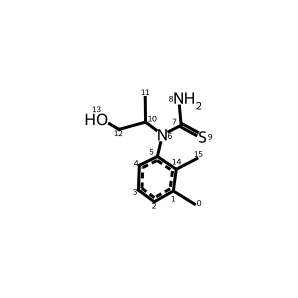 Cc1cccc(N(C(N)=S)C(C)CO)c1C